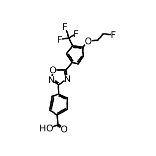 O=C(O)c1ccc(-c2noc(-c3ccc(OCCF)c(C(F)(F)F)c3)n2)cc1